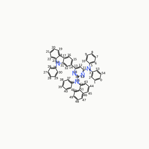 c1ccc(N(c2ccccc2)c2cc(-c3ccc4c5ccccc5n(-c5ccccc5)c4c3)nc(N(c3ccccc3)c3cccc4ccccc34)n2)cc1